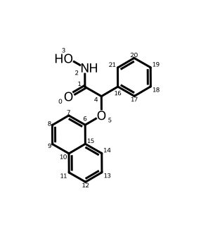 O=C(NO)C(Oc1cccc2ccccc12)c1ccccc1